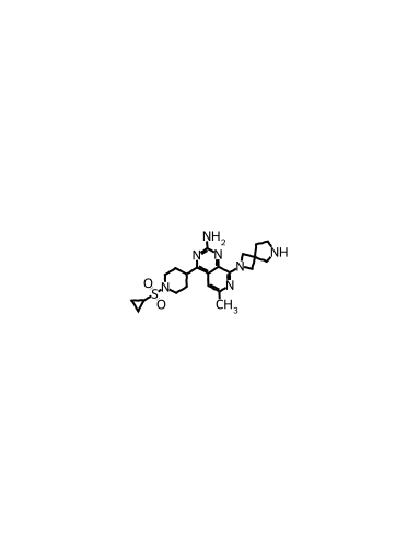 Cc1cc2c(C3CCN(S(=O)(=O)C4CC4)CC3)nc(N)nc2c(N2CC3(CCNC3)C2)n1